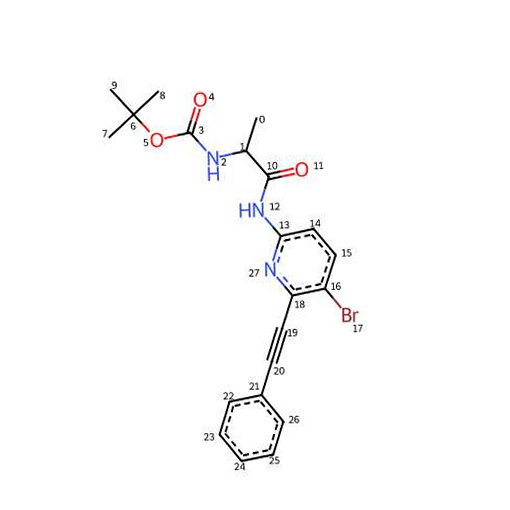 CC(NC(=O)OC(C)(C)C)C(=O)Nc1ccc(Br)c(C#Cc2ccccc2)n1